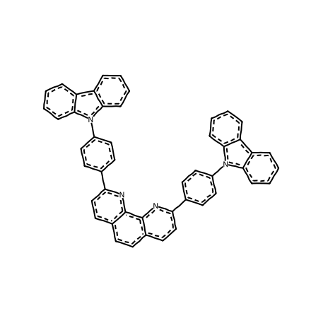 c1ccc2c(c1)c1ccccc1n2-c1ccc(-c2ccc3ccc4ccc(-c5ccc(-n6c7ccccc7c7ccccc76)cc5)nc4c3n2)cc1